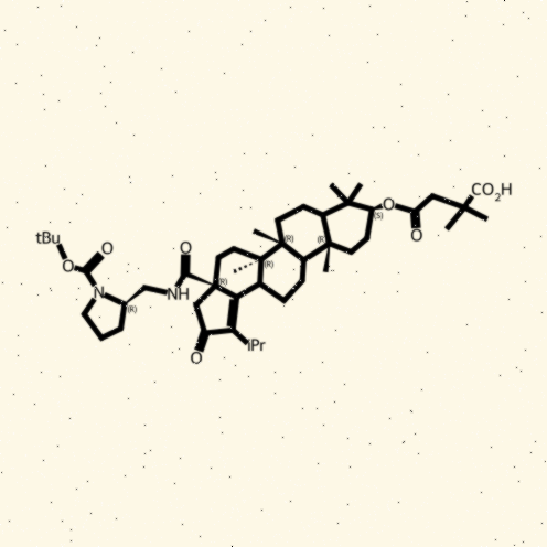 CC(C)C1=C2C3CCC4[C@@]5(C)CC[C@H](OC(=O)CC(C)(C)C(=O)O)C(C)(C)C5CC[C@@]4(C)[C@]3(C)CC[C@@]2(C(=O)NC[C@H]2CCCN2C(=O)OC(C)(C)C)CC1=O